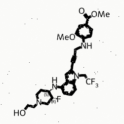 COC(=O)c1ccc(NCC#Cc2cc3c(N[C@H]4CCN(CCO)C[C@H]4F)cccc3n2CC(F)(F)F)c(OC)c1